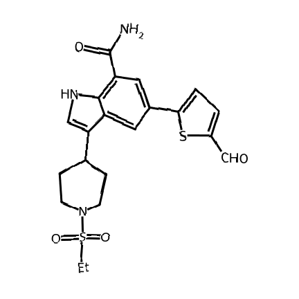 CCS(=O)(=O)N1CCC(c2c[nH]c3c(C(N)=O)cc(-c4ccc(C=O)s4)cc23)CC1